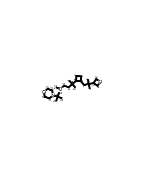 CC(C)(CC1CCC1C(C)(C)CCOC[C@H]1COCCN1C(C)(C)C)C1COC1